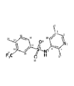 Cc1cnc(C)c(NS(=O)(=O)c2ccc(C)c(C(F)(F)F)c2)c1